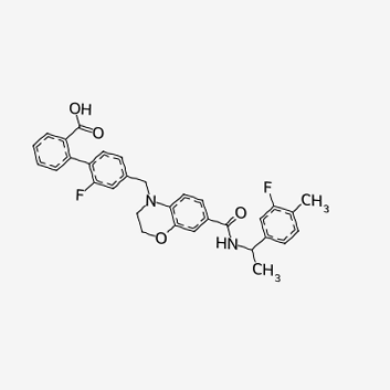 Cc1ccc(C(C)NC(=O)c2ccc3c(c2)OCCN3Cc2ccc(-c3ccccc3C(=O)O)c(F)c2)cc1F